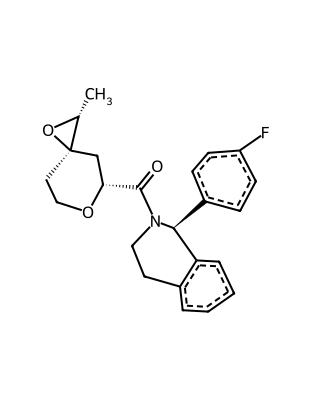 C[C@H]1O[C@@]12CCO[C@@H](C(=O)N1CCc3ccccc3[C@@H]1c1ccc(F)cc1)C2